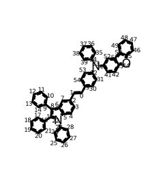 C(=C\c1ccc2c(c1)c(-c1ccccc1)c(-c1ccccc1)n2-c1ccccc1)/c1ccc(N(c2ccccc2)c2ccc3oc4ccccc4c3c2)cc1